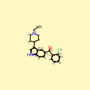 CC(C)CN1CCC(c2c[nH]c3ccc(C(=O)c4ccccc4F)cc23)CC1